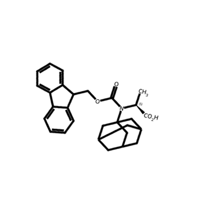 C[C@@H](C(=O)O)N(C(=O)OCC1c2ccccc2-c2ccccc21)C12CC3CC(CC(C3)C1)C2